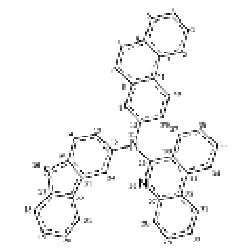 c1ccc2c(c1)ccc1cc(N(c3ccc4sc5ccccc5c4c3)c3nc4ccccc4c4ccccc34)ccc12